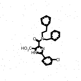 O=C(O)c1[nH]c(-c2cccc(Cl)c2)nc1C(=O)N(CCc1ccccc1)Cc1ccccc1